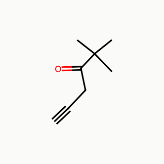 C#CCC(=O)C(C)(C)C